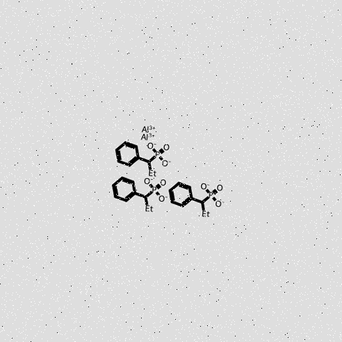 CCC(c1ccccc1)P(=O)([O-])[O-].CCC(c1ccccc1)P(=O)([O-])[O-].CCC(c1ccccc1)P(=O)([O-])[O-].[Al+3].[Al+3]